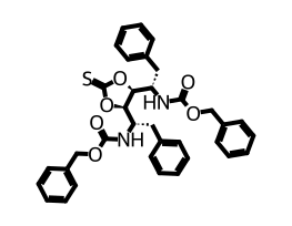 O=C(N[C@@H](Cc1ccccc1)[C@H]1OC(=S)O[C@@H]1[C@H](Cc1ccccc1)NC(=O)OCc1ccccc1)OCc1ccccc1